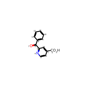 O=C(O)c1ccnc(C(=O)c2ccccc2)c1